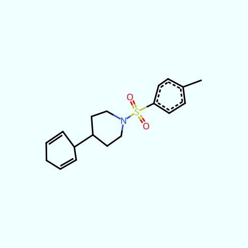 Cc1ccc(S(=O)(=O)N2CCC(C3C=CCC=C3)CC2)cc1